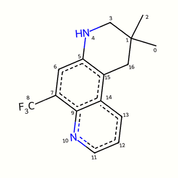 CC1(C)CNc2cc(C(F)(F)F)c3ncccc3c2C1